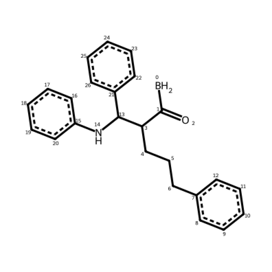 BC(=O)C(CCCc1ccccc1)C(Nc1ccccc1)c1ccccc1